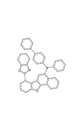 c1ccc(-c2ccc(N(c3ccccc3)c3cc4c(oc5cccc(-c6nc7ccccc7o6)c54)c4ccccc34)cc2)cc1